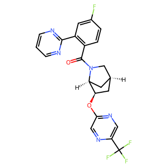 O=C(c1ccc(F)cc1-c1ncccn1)N1C[C@H]2C[C@@H](Oc3cnc(C(F)(F)F)cn3)[C@@H]1C2